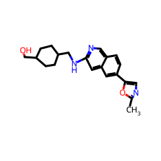 Cc1ncc(-c2ccc3cnc(NCC4CCC(CO)CC4)cc3c2)o1